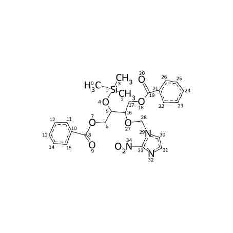 C[Si](C)(C)OC(COC(=O)c1ccccc1)C(COC(=O)c1ccccc1)OCn1ccnc1[N+](=O)[O-]